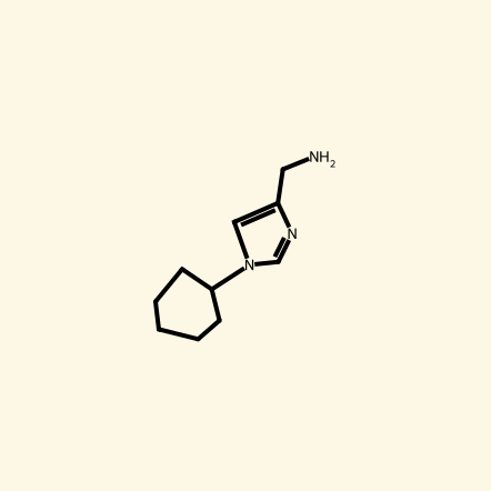 NCc1cn(C2CCCCC2)cn1